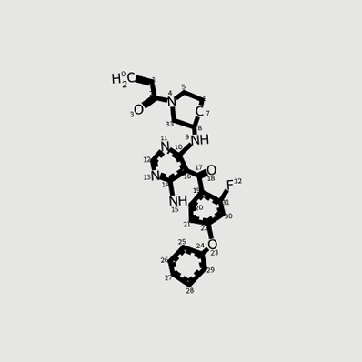 C=CC(=O)N1CCCC(Nc2ncnc(N)c2C(=O)c2ccc(Oc3ccccc3)cc2F)C1